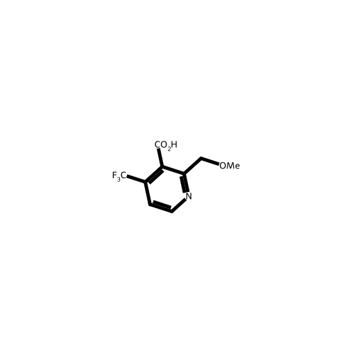 COCc1nccc(C(F)(F)F)c1C(=O)O